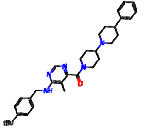 Cc1c(NCc2ccc(C(C)(C)C)cc2)ncnc1C(=O)N1CCC(N2CCC(c3ccccc3)CC2)CC1